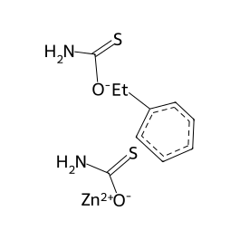 CCc1ccccc1.NC([O-])=S.NC([O-])=S.[Zn+2]